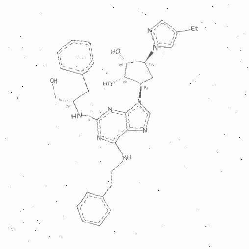 CCc1cnn([C@H]2C[C@@H](n3cnc4c(NCCc5ccccc5)nc(N[C@H](CO)Cc5ccccc5)nc43)[C@H](O)[C@@H]2O)c1